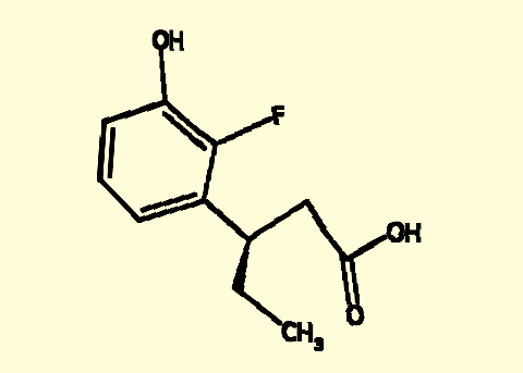 CC[C@H](CC(=O)O)c1cccc(O)c1F